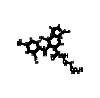 Cn1cnc2c(F)c(Nc3ccc(Br)cc3F)c(C(=O)NOCC(=O)O)cc21